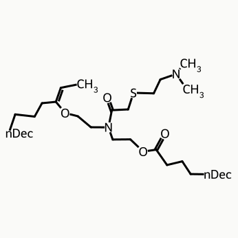 CC=C(CCCCCCCCCCCCC)OCCN(CCOC(=O)CCCCCCCCCCCCC)C(=O)CSCCN(C)C